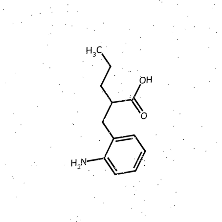 CCCC(Cc1ccccc1N)C(=O)O